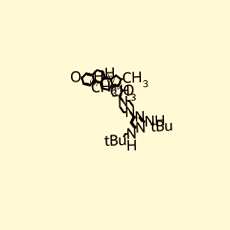 CC1C[C@H]2[C@@H]3CCC4=CC(=O)C=C[C@]4(C)C3=CC[C@]2(C)[C@H]1C(=O)CN1CCN(c2cc(NCC(C)(C)C)nc(NC(C)(C)C)n2)CC1